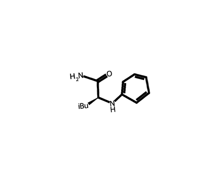 CCC(C)[C@H](Nc1ccccc1)C(N)=O